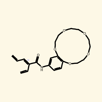 C=C/C=C(\C=C)C(=O)Nc1ccc2c(c1)OCCOCCOCCOCCO2